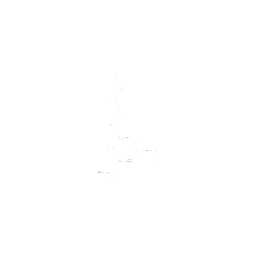 CCO[CH]Oc1cc(OC)cc(OC)c1